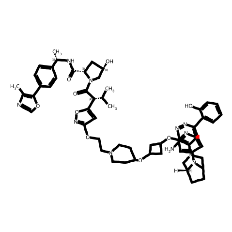 Cc1ncoc1-c1ccc([C@H](C)NC(=O)[C@@H]2C[C@@H](O)CN2C(=O)[C@@H](c2cc(OCCN3CCC(OC4CC(Oc5cc(N6C7CC[C@@H]6CN(c6cc(-c8ccccc8O)nnc6N)C7)ccn5)C4)CC3)no2)C(C)C)cc1